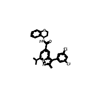 Cc1nn2c(C(C)C)cc(C(=O)N[C@H]3CCOc4ccccc43)cc2c1-c1cc(Cl)cc(Cl)c1